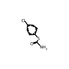 NC(=O)Sc1ccc(Cl)cc1